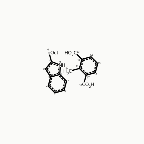 CCCCCCCCc1cc2ccccc2[nH]1.Cc1c(C(=O)O)cccc1C(=O)O